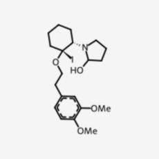 COc1ccc(CCO[C@]2(I)CCCC[C@@H]2N2CCCC2O)cc1OC